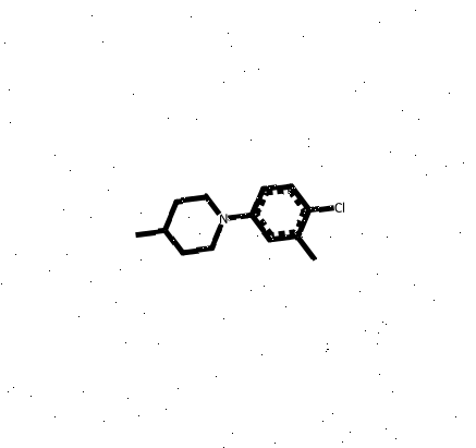 Cc1cc(N2CCC(C)CC2)ccc1Cl